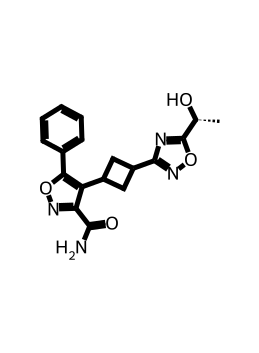 C[C@@H](O)c1nc(C2CC(c3c(C(N)=O)noc3-c3ccccc3)C2)no1